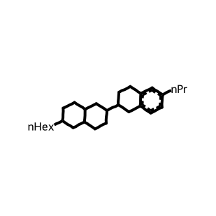 CCCCCCC1CCC2CC(C3CCc4cc(CCC)ccc4C3)CCC2C1